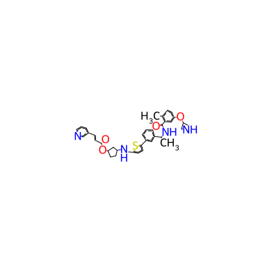 Cc1ccc(OC2CNC2)cc1C(=O)N[C@H](C)c1cccc(-c2ccc(CN[C@H]3CC[C@@H](OC(=O)/C=C/c4cccnc4)C3)s2)c1